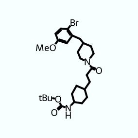 COc1ccc(Br)c(CC2CCN(C(=O)CCC3CCC(NC(=O)OC(C)(C)C)CC3)CC2)c1